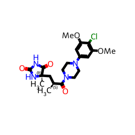 COc1cc(N2CCN(C(=O)[C@@H](C)C[C@@]3(C)NC(=O)NC3=O)CC2)cc(OC)c1Cl